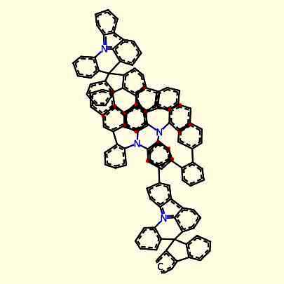 c1ccc(-c2ccc(N(c3ccc(-c4ccc5c(c4)c4cccc6c4n5-c4ccccc4C64c5ccccc5-c5ccccc54)cc3)c3ccccc3-c3cccc(-c4cccc(-c5ccccc5N(c5ccc(-c6ccccc6-c6ccccc6)cc5)c5ccc(-c6cccc7c6-c6ccccc6C76c7ccccc7-n7c8ccccc8c8cccc6c87)cc5)c4)c3)c(-c3ccccc3)c2)cc1